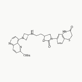 COc1ccc2nccc(N3CC(NCCC4CN(c5ccc6c(c5)NC(=O)CS6)C(=O)O4)C3)c2n1